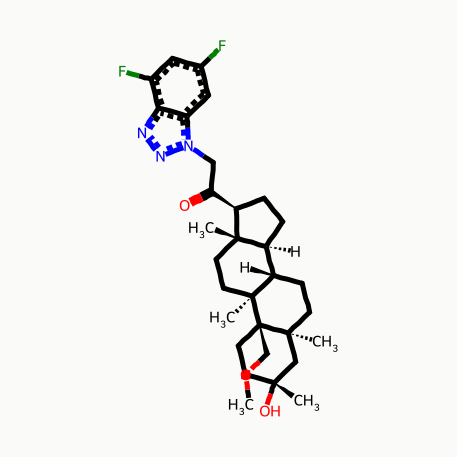 COC[C@]12CC[C@@](C)(O)C[C@]1(C)CC[C@H]1[C@@H]3CC[C@H](C(=O)Cn4nnc5c(F)cc(F)cc54)[C@@]3(C)CC[C@@]12C